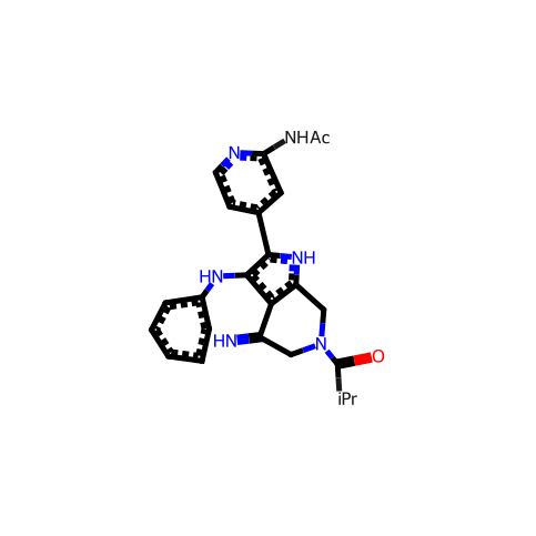 CC(=O)Nc1cc(-c2[nH]c3c(c2Nc2ccccc2)C(=N)CN(C(=O)C(C)C)C3)ccn1